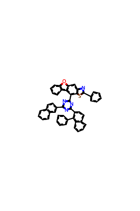 c1ccc(-c2nc3cc4oc5ccccc5c4c(-c4nc(-c5ccc6ccccc6c5)nc(-c5ccc6ccccc6c5-c5ccccc5)n4)c3s2)cc1